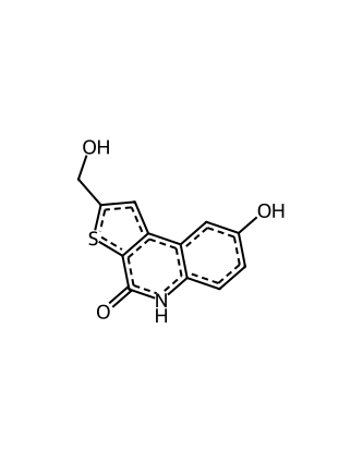 O=c1[nH]c2ccc(O)cc2c2cc(CO)sc12